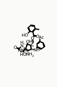 CNC(=O)N[C@@]1([C@H](C)O)[C@@H](N)[C@H](Nc2cccc(C(C)=O)c2)[C@H](COC(=O)c2c(C)cccc2O)[C@]1(C)O